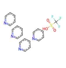 O=S(=O)(O)C(F)(F)F.c1ccncc1.c1ccncc1.c1ccncc1.c1ccncc1